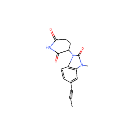 CC#Cc1ccc2c(c1)n(C)c(=O)n2C1CCC(=O)NC1=O